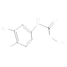 CC(C)(C)OC(=O)Nc1ccc(F)c(C#N)c1